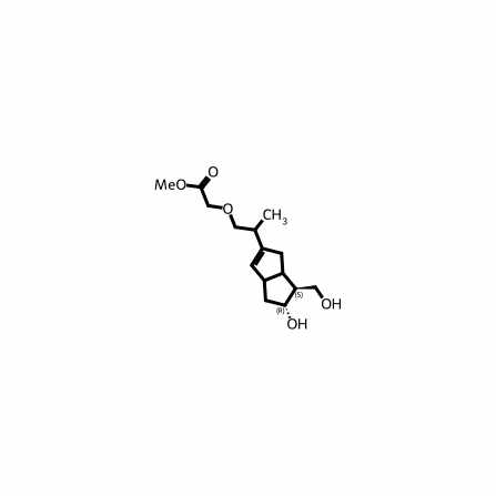 COC(=O)COCC(C)C1=CC2C[C@@H](O)[C@H](CO)C2C1